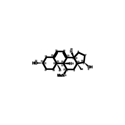 CN[C@@H]1C[C@]2(C)[C@@H](O)CC[C@H]2C2=CC=C3C[C@@H](O)CC[C@]3(C)[C@H]21